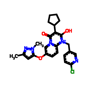 Cc1cc(Oc2ccc3n(c2)c(=O)c(C2CCCC2)c(O)[n+]3Cc2ccc(Cl)nc2)n(C)n1